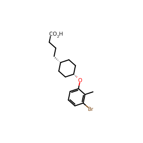 Cc1c(Br)cccc1O[C@H]1CC[C@@H](CCCC(=O)O)CC1